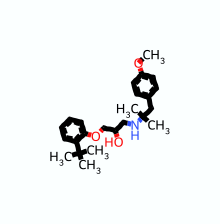 COc1ccc(CC(C)(C)NCC(O)COc2ccccc2C(C)(C)C)cc1